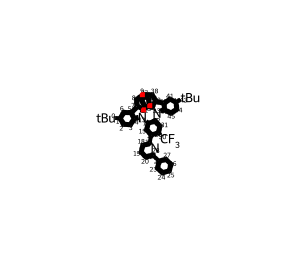 CC(C)(C)c1ccc2c(c1)c1ccccc1n2-c1cc(-c2cccc(-c3ccccc3)n2)c(C(F)(F)F)cc1-n1c2ccccc2c2cc(C(C)(C)C)ccc21